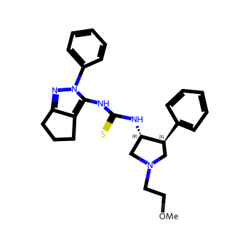 COCCN1C[C@H](NC(=S)Nc2c3c(nn2-c2ccccc2)CCC3)[C@@H](c2ccccc2)C1